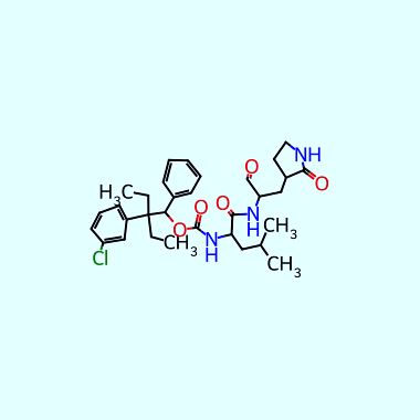 CCC(CC)(c1cccc(Cl)c1)C(OC(=O)NC(CC(C)C)C(=O)NC(C=O)CC1CCNC1=O)c1ccccc1